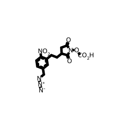 [N-]=[N+]=NCc1ccc([N+](=O)[O-])c(CCC2CC(=O)N(OC(=O)O)C2=O)c1